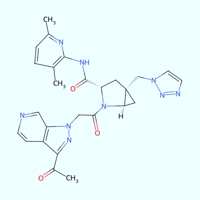 CC(=O)c1nn(CC(=O)N2[C@H](C(=O)Nc3nc(C)ccc3C)C[C@@]3(Cn4ccnn4)C[C@@H]23)c2cnccc12